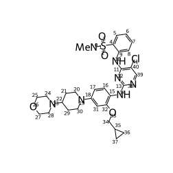 CNS(=O)(=O)c1ccccc1Nc1nc(Nc2ccc(N3CCC(N4CCOCC4)CC3)cc2OCC2CC2)ncc1Cl